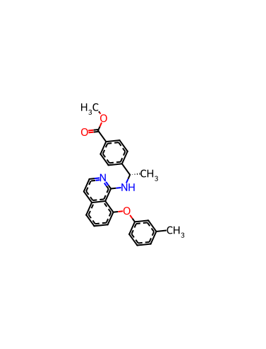 COC(=O)c1ccc([C@H](C)Nc2nccc3cccc(Oc4cccc(C)c4)c23)cc1